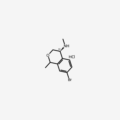 CN[C@@H]1COC(C)c2cc(Br)ccc21.Cl